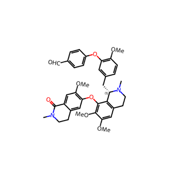 COc1ccc(C[C@H]2c3c(cc(OC)c(OC)c3Oc3cc4c(cc3OC)C(=O)N(C)CC4)CCN2C)cc1Oc1ccc(C=O)cc1